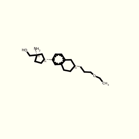 CCOCCC[C@@H]1CCc2cc([C@@H]3CC[C@@](N)(CO)C3)ccc2C1